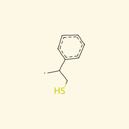 [CH2]C(CS)c1ccccc1